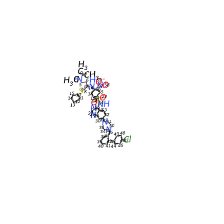 CC(C)N(C)CC[C@H](CSc1ccccc1)Nc1ccc(S(=O)(=O)Nc2ncnc3cc(N4CCN(Cc5ccccc5-c5ccc(Cl)cc5)CC4)ccc23)cc1[N+](=O)[O-]